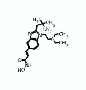 CCN(CC)CCn1c(CC(C)(C)C)nc2cc(/C=C/C(=O)NO)ccc21